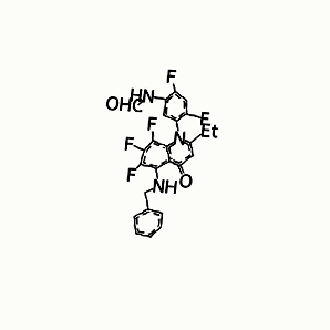 CCc1cc(=O)c2c(NCc3ccccc3)c(F)c(F)c(F)c2n1-c1cc(NC=O)c(F)cc1F